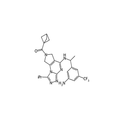 CC(C)c1nnc2nc(NC(C)c3cc(N)cc(C(F)(F)F)c3)c3c(n12)CN(C(=O)C12CC(C1)C2)C3